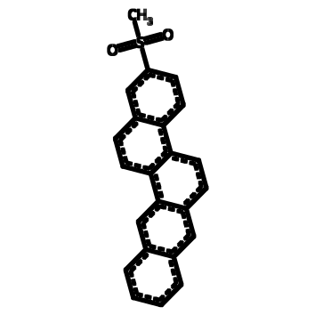 CS(=O)(=O)c1ccc2c(ccc3c4cc5ccccc5cc4ccc23)c1